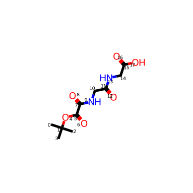 CC(C)(C)OC(=O)C(=O)NCC(=O)NCC(=O)O